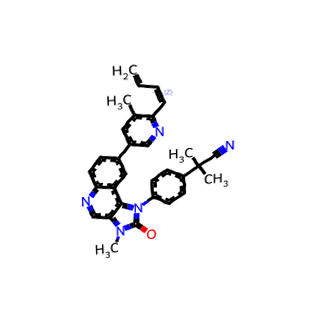 C=C/C=C\c1ncc(-c2ccc3ncc4c(c3c2)n(-c2ccc(C(C)(C)C#N)cc2)c(=O)n4C)cc1C